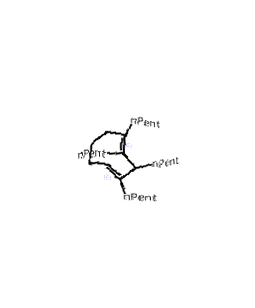 CCCCC/C1=C\CCC/C(CCCCC)=C(\CCCCC)C1CCCCC